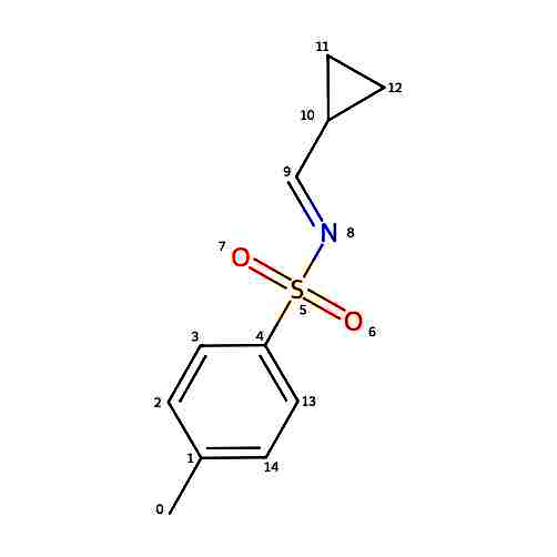 Cc1ccc(S(=O)(=O)N=CC2CC2)cc1